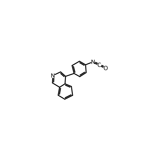 O=C=Nc1ccc(-c2cncc3ccccc23)cc1